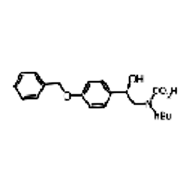 CCCCN(C[C@H](O)c1ccc(OCc2ccccc2)cc1)C(=O)O